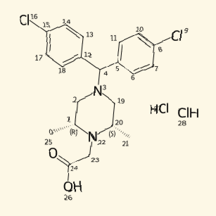 C[C@@H]1CN(C(c2ccc(Cl)cc2)c2ccc(Cl)cc2)C[C@H](C)N1CC(=O)O.Cl.Cl